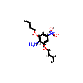 CCCCOc1cc([N+](=O)[O-])cc(OCCCC)c1N